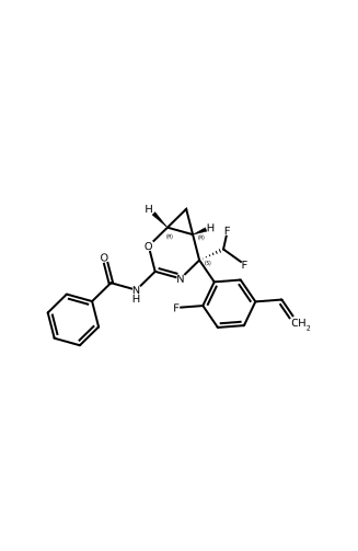 C=Cc1ccc(F)c([C@@]2(C(F)F)N=C(NC(=O)c3ccccc3)O[C@@H]3C[C@@H]32)c1